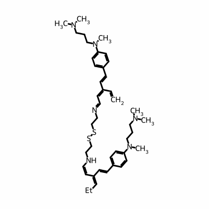 C=CC(/C=C/c1ccc(N(C)CCCN(C)C)cc1)=C\C=N\CCSSCCN\C=C/C(=C\CC)/C=C/c1ccc(N(C)CCCN(C)C)cc1